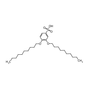 CCCCCCCCCCOc1ccc(S(=O)(=O)O)cc1OCCCCCCCCCC